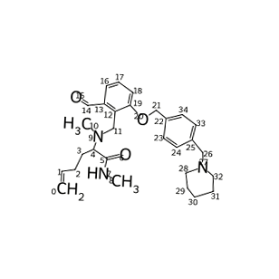 C=CCCC(C(=O)NC)N(C)Cc1c(C=O)cccc1OCc1ccc(CN2CCCCC2)cc1